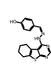 Oc1ccc(/C=N\Nc2ncnc3sc4c(c23)CCCC4)cc1